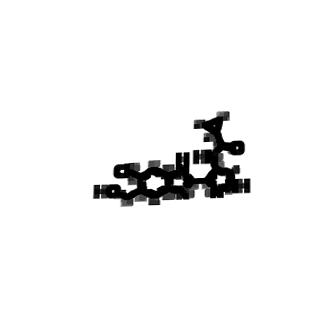 O=C(Nc1c[nH]nc1-c1nc2cc(CO)c(Cl)cc2[nH]1)C1CC1